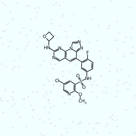 COc1ncc(Cl)cc1S(=O)(=O)Nc1ccc(F)c(-c2cc3cnc(NC4CCO4)nc3n3cnnc23)c1